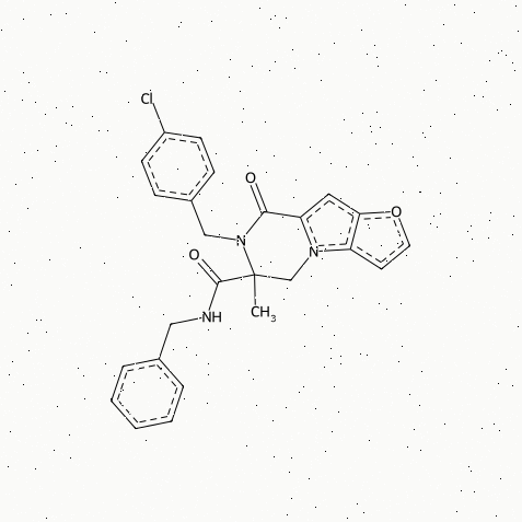 CC1(C(=O)NCc2ccccc2)Cn2c(cc3occc32)C(=O)N1Cc1ccc(Cl)cc1